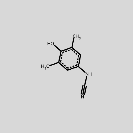 Cc1cc(NC#N)cc(C)c1O